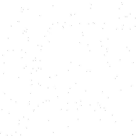 BrCc1ccc2sc(Cc3ccc4sccc4c3)cc2c1